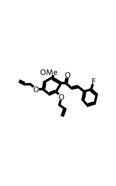 C=CCOc1cc(OC)c(C(=O)C=Cc2ccccc2F)c(OCC=C)c1